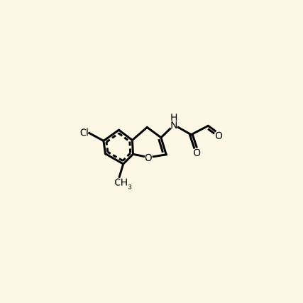 Cc1cc(Cl)cc2c1OC=C(NC(=O)C=O)C2